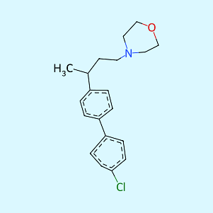 CC(CCN1CCOCC1)c1ccc(-c2ccc(Cl)cc2)cc1